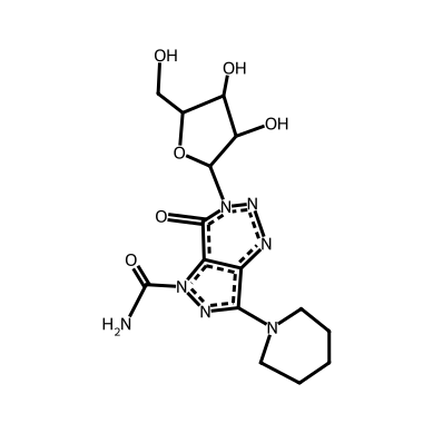 NC(=O)n1nc(N2CCCCC2)c2nnn(C3OC(CO)C(O)C3O)c(=O)c21